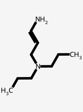 CCCN(CC=CN)CCC